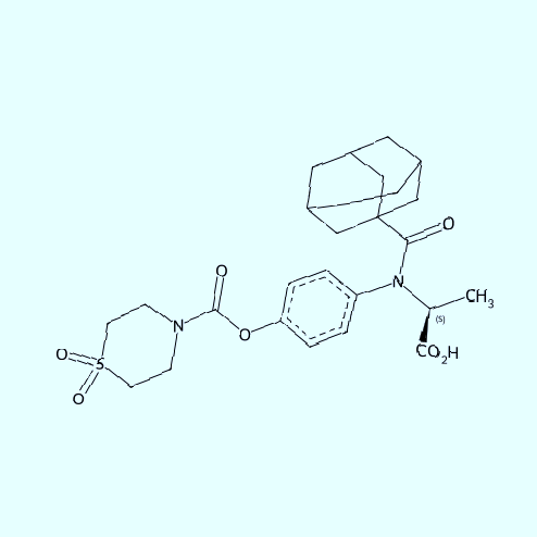 C[C@@H](C(=O)O)N(C(=O)C12CC3CC(CC(C3)C1)C2)c1ccc(OC(=O)N2CCS(=O)(=O)CC2)cc1